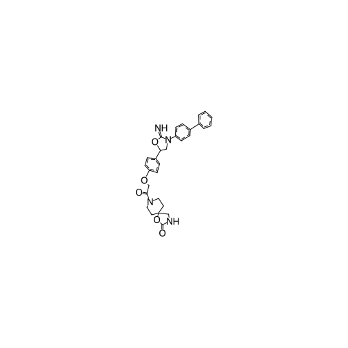 N=C1OC(c2ccc(OCC(=O)N3CCC4(CC3)CNC(=O)O4)cc2)CN1c1ccc(-c2ccccc2)cc1